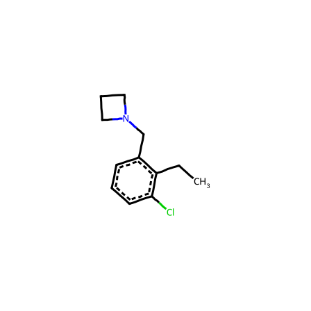 CCc1c(Cl)cccc1CN1CCC1